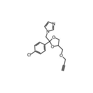 C#CCOCC1COC(Cn2ccnc2)(c2ccc(Cl)cc2)O1